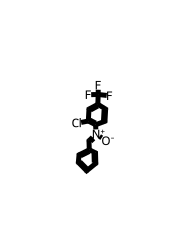 [O-][N+](=Cc1ccccc1)c1ccc(C(F)(F)F)cc1Cl